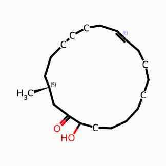 C[C@H]1CCCCCC/C=C/CCCCCCCCC(O)C(=O)C1